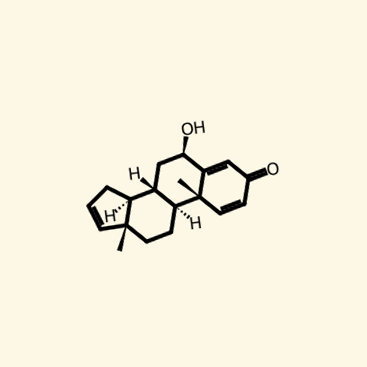 C[C@@]12C=CC[C@H]1[C@@H]1C[C@@H](O)C3=CC(=O)C=C[C@]3(C)[C@H]1CC2